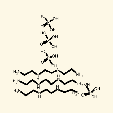 NCCNCCNCCN.NCCNCCNCCN.NCCNCCNCCN.O=P(O)(O)O.O=P(O)(O)O.O=P(O)(O)O.O=P(O)(O)O